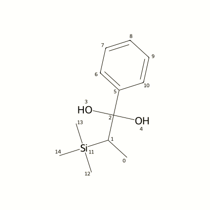 CC(C(O)(O)c1ccccc1)[Si](C)(C)C